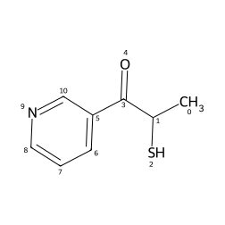 CC(S)C(=O)c1cccnc1